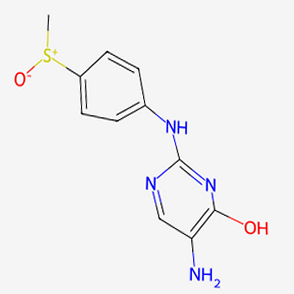 C[S+]([O-])c1ccc(Nc2ncc(N)c(O)n2)cc1